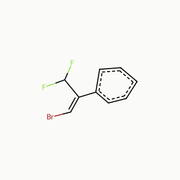 FC(F)C(=CBr)c1ccccc1